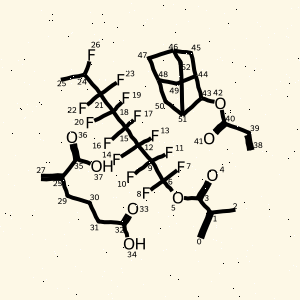 C=C(C)C(=O)OC(F)(F)C(F)(F)C(F)(F)C(F)(F)C(F)(F)C(F)(F)C(C)F.C=C(CCCC(=O)O)C(=O)O.C=CC(=O)OC1C2CC3CC(C2)CC1C3